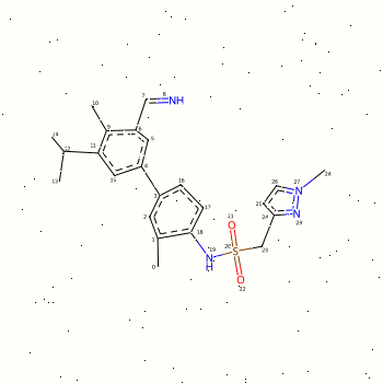 Cc1cc(-c2cc(C=N)c(C)c(C(C)C)c2)ccc1NS(=O)(=O)Cc1ccn(C)n1